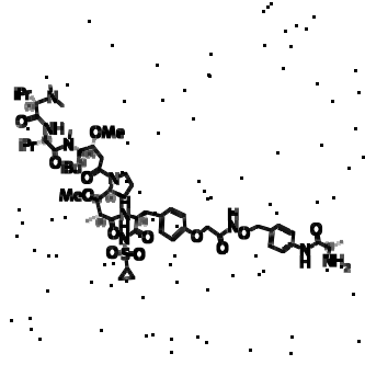 CC[C@H](C)[C@@H]([C@@H](CC(=O)N1CCC[C@H]1[C@H](OC)[C@@H](C)C(=O)N[C@@H](Cc1ccc(OCC(=O)NOCc2ccc(NC(=O)[C@H](C)N)cc2)cc1)C(=O)NS(=O)(=O)C1CC1)OC)N(C)C(=O)[C@@H](NC(=O)[C@H](C(C)C)N(C)C)C(C)C